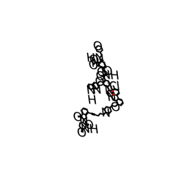 O=C1CCC(N2Cc3c(C#CCCCN4CCC(COc5cccc(-c6ccc(Cl)cc6)c5CN5CCN(c6ccc(C(=O)NS(=O)(=O)c7ccc(NCC8CCOCC8)c([N+](=O)[O-])c7)c(Oc7cnc8[nH]ccc8c7)c6)CC5)CC4)cccc3C2=O)C(=O)N1